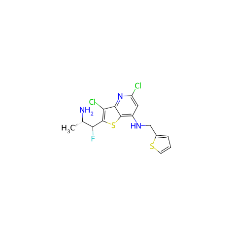 C[C@H](N)C(F)c1sc2c(NCc3cccs3)cc(Cl)nc2c1Cl